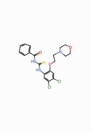 O=C(NC(=S)Nc1cc(Cl)c(Cl)cc1OCCN1CCOCC1)c1ccccc1